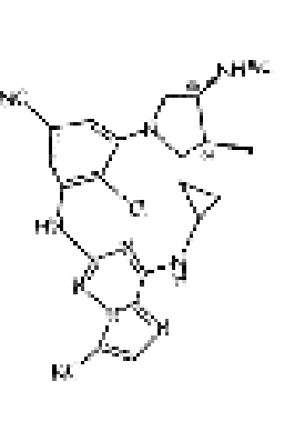 CC(=O)N[C@@H]1CN(c2cc(C#N)cc(Nc3nc(NC4CC4)c4ncc(C#N)n4n3)c2Cl)C[C@@H]1C